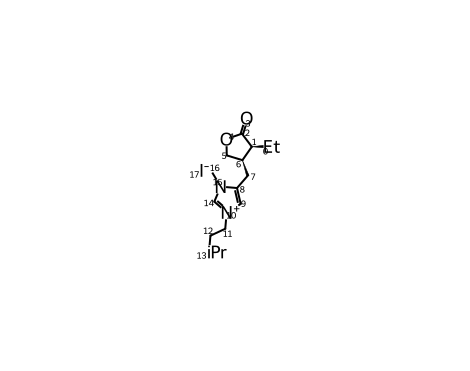 CC[C@@H]1C(=O)OC[C@@H]1Cc1c[n+](CCC(C)C)cn1C.[I-]